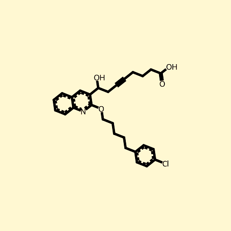 O=C(O)CCCC#CCC(O)c1cc2ccccc2nc1OCCCCCc1ccc(Cl)cc1